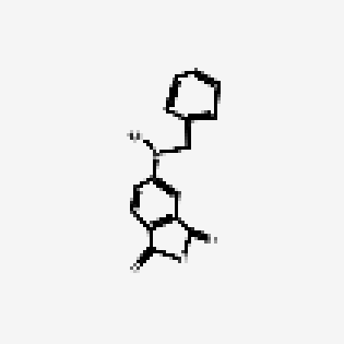 NN(Cc1ccccc1)c1ccc2c(c1)C(=O)OC2=O